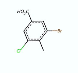 Cc1c(Cl)cc(C(=O)O)cc1Br